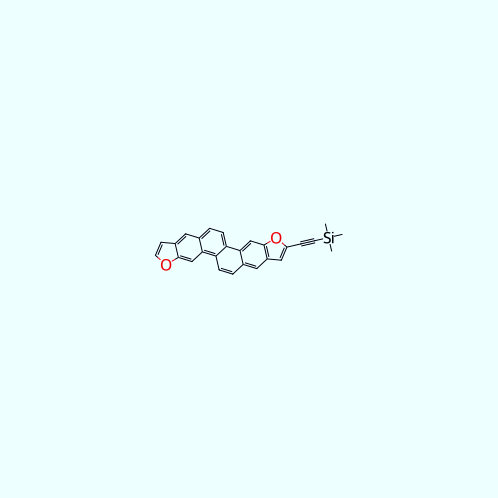 C[Si](C)(C)C#Cc1cc2cc3ccc4c5cc6occc6cc5ccc4c3cc2o1